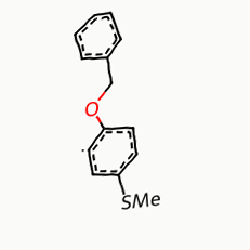 CSc1c[c]c(OCc2ccccc2)cc1